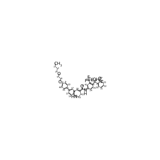 CCCCOCCOc1ccc(-c2ccc3c(c2)C=C(C(=O)Nc2ccc(C(O)c4cccc[n+]4[O-])c(C(F)(F)F)c2)CCN3)cc1